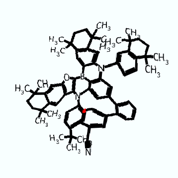 CC(C)(C)c1ccc(N2c3cc(-c4ccccc4-c4cccc(C#N)c4)cc4c3B(c3cc5c(cc3N4c3ccc4c(c3)C(C)(C)CCC4(C)C)C(C)(C)CCC5(C)C)c3oc4cc5c(cc4c32)C(C)(C)CCC5(C)C)cc1